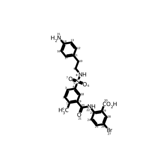 Cc1ccc(S(=O)(=O)NCCc2ccc(N)cc2)cc1C(=O)Nc1ccc(Br)cc1C(=O)O